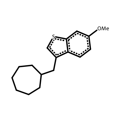 COc1ccc2c(CC3CCCCCC3)csc2c1